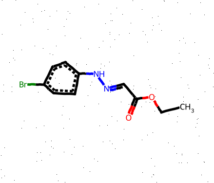 CCOC(=O)C=NNc1ccc(Br)cc1